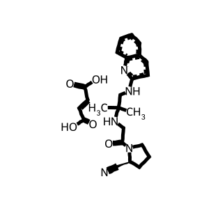 CC(C)(CNc1ccc2ccccc2n1)NCC(=O)N1CCC[C@H]1C#N.O=C(O)/C=C/C(=O)O